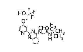 CN(CC(=O)NC(C)(C)C)c1nc(-c2cc(OCC(O)C(F)(F)F)ccn2)nc2c1CCC2